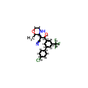 CC1OCCN/C1=C(/C#N)C(=O)c1cc(-c2ccc(Cl)cc2)cc(C(F)(F)F)c1